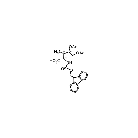 CC(=O)OC[C@H](OC(C)=O)[C@H](C)[C@H](NC(=O)OCC1c2ccccc2-c2ccccc21)C(=O)O